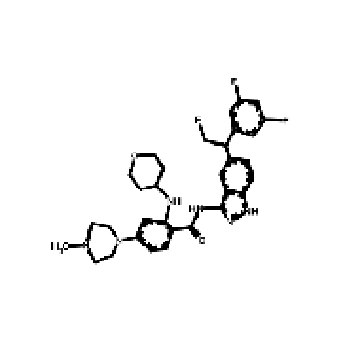 CN1CCN(c2ccc(C(=O)Nc3n[nH]c4ccc(C(CF)c5cc(F)cc(F)c5)cc34)c(NC3CCOCC3)c2)CC1